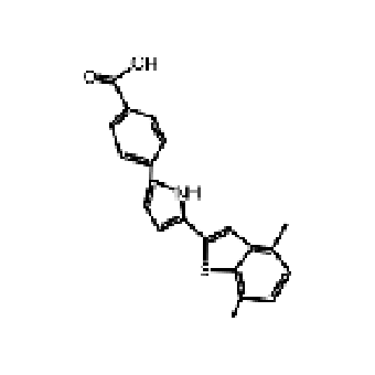 Cc1ccc(C)c2sc(-c3ccc(-c4ccc(C(=O)O)cc4)[nH]3)cc12